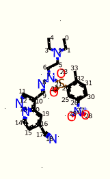 CCN(CC)CCN(N=Cc1cnn2ccc(C#N)cc12)S(=O)(=O)c1cc([N+](=O)[O-])ccc1C